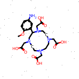 COc1ccc(N)cc1C1CN(CC(=O)O)CCN(CC(=O)O)CCN(CC(=O)O)CCN1CC(=O)O